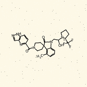 Cc1cccc2c1C1(CCN(C(=O)c3ccc4[nH]ncc4n3)CC1)C(=O)N2CC(O)N1CCC[C@H]1C(F)(F)F